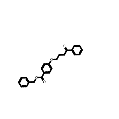 O=C(CCCOc1ccc(C(=O)OCc2ccccc2)cc1)c1ccccc1